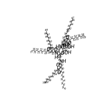 CCCCCCCCCCC[C@H](CC(=O)NCCO[C@@H]1OC(CO)[C@@H](OCP(=O)(O)O)C(NC(=O)C[C@@H](CCCCCCCCCCC)OC(=O)CCCCCCCCC)CC1NC(=O)C[C@@H](CCCCCCCCCCC)OC(=O)CCCCCCCCC)OC(=O)CCCCCCCCC